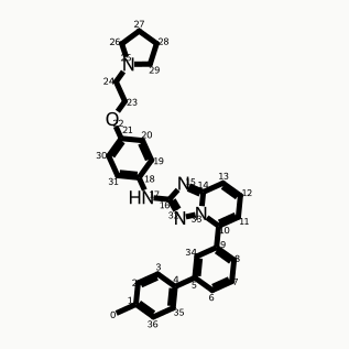 Cc1ccc(-c2cccc(-c3cccc4nc(Nc5ccc(OCCN6CCCC6)cc5)nn34)c2)cc1